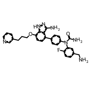 NCc1ccc(F)c(N(C(N)=O)c2ccc(-c3ccc(OCCCc4cccnc4)c4[nH]nc(N)c34)cc2)c1